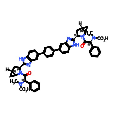 CN(C(=O)O)[C@@H](C(=O)N1C2C[C@@H]2C[C@H]1c1nc2cc(-c3ccc(-c4ccc5[nH]c([C@@H]6C[C@H]7CC7N6C(=O)[C@@H](c6ccccc6)N(C)C(=O)O)nc5c4)cc3)ccc2[nH]1)c1ccccc1